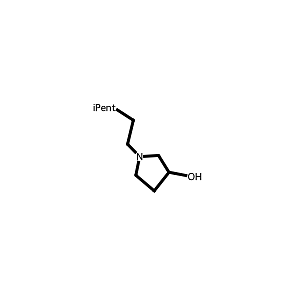 CCCC(C)CCN1CCC(O)C1